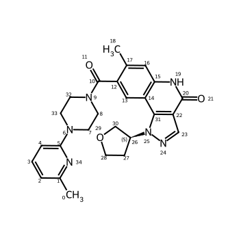 Cc1cccc(N2CCN(C(=O)c3cc4c(cc3C)[nH]c(=O)c3cnn([C@H]5CCOC5)c34)CC2)n1